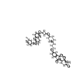 Cc1cc(Nc2ccc3nc(O[C@H]4C[C@H](OC5CCN(CCCOc6ccc7c(c6)C(=O)N(C6CCC(=O)NC6=O)C7=O)CC5)C4)ccc3n2)ccn1